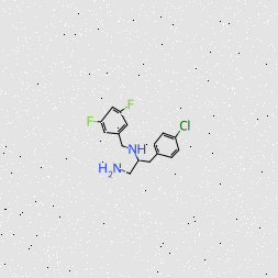 NCC(Cc1ccc(Cl)cc1)NCc1cc(F)cc(F)c1